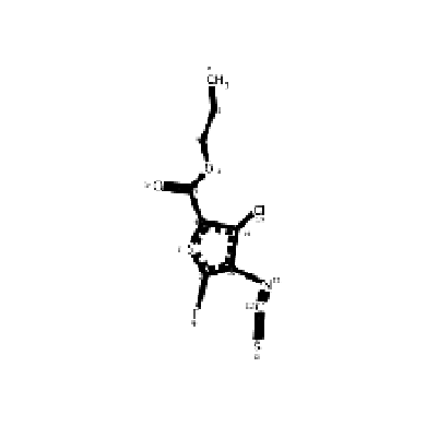 CCCOC(=O)c1sc(F)c(N=C=S)c1Cl